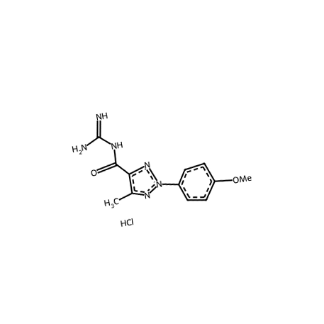 COc1ccc(-n2nc(C)c(C(=O)NC(=N)N)n2)cc1.Cl